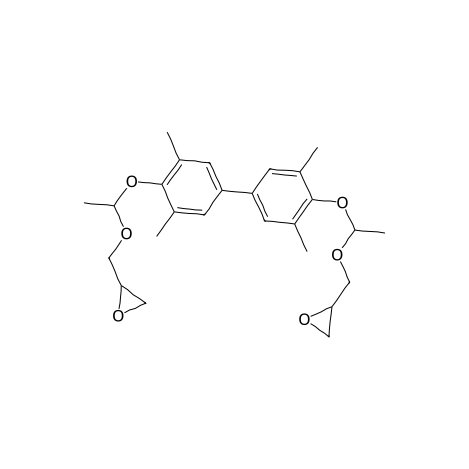 Cc1cc(-c2cc(C)c(OC(C)OCC3CO3)c(C)c2)cc(C)c1OC(C)OCC1CO1